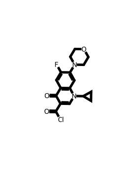 O=C(Cl)c1cn(C2CC2)c2cc(N3CCOCC3)c(F)cc2c1=O